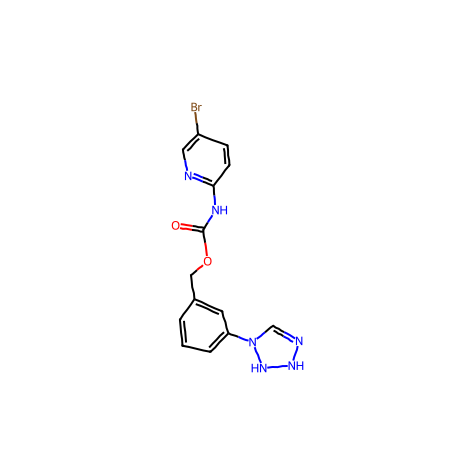 O=C(Nc1ccc(Br)cn1)OCc1cccc(N2C=NNN2)c1